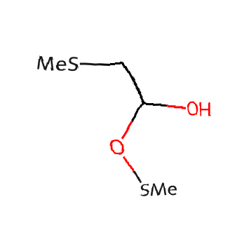 CSCC(O)OSC